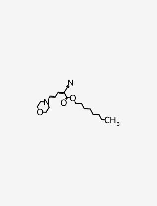 CCCCCCCCOC(=O)/C(C#N)=C\C=C\N1CCOCC1